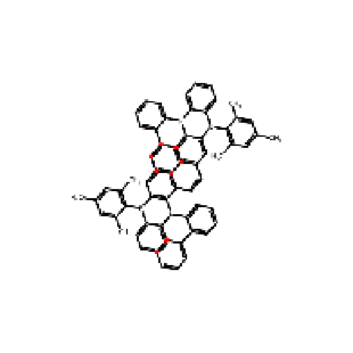 Cc1cc(C)c(B2c3ccccc3N(c3ccccc3-c3ccccc3)c3c2cc2ccc4c5c(cc6ccc3c2c64)B(c2c(C)cc(C)cc2C)c2ccccc2N5c2ccccc2-c2ccccc2)c(C)c1